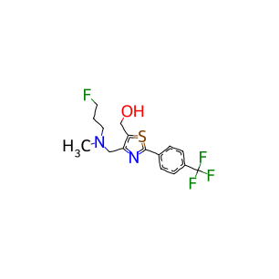 CN(CCCF)Cc1nc(-c2ccc(C(F)(F)F)cc2)sc1CO